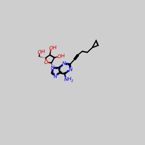 Nc1nc(C#CCCC2CC2)nc2c1ncn2[C@@H]1O[C@H](CO)C(O)C1O